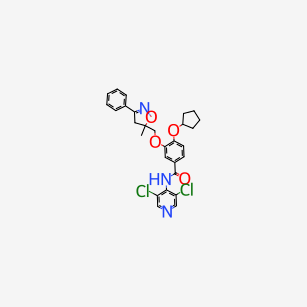 CC1(COc2cc(C(=O)Nc3c(Cl)cncc3Cl)ccc2OC2CCCC2)CC(c2ccccc2)=NO1